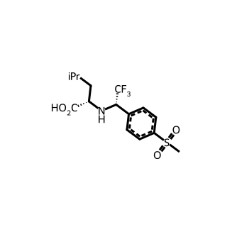 CC(C)C[C@H](N[C@@H](c1ccc(S(C)(=O)=O)cc1)C(F)(F)F)C(=O)O